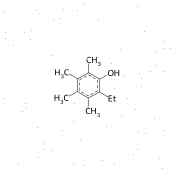 CCc1c(C)c(C)c(C)c(C)c1O